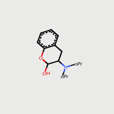 CCCN(CCC)C1Cc2ccccc2OC1O